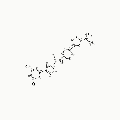 CN(C)C1CCN(c2ccc(NC(=O)c3csc(-c4cc(Cl)cc(Cl)c4)n3)cc2)C1